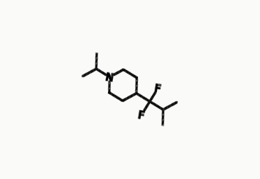 CC(C)N1CCC(C(F)(F)C(C)C)CC1